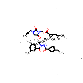 C#CCN1CC(=O)N(COC(=O)C2C(C=C(C)C)C2(C)C)C1=O.CCc1ccc(C(=O)NN(C(=O)c2cc(C)cc(C)c2)C(C)(C)C)cc1